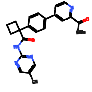 CNC(=O)c1cc(-c2ccc(C3(C(=O)Nc4ncc(C#N)cn4)CCC3)cc2)ccn1